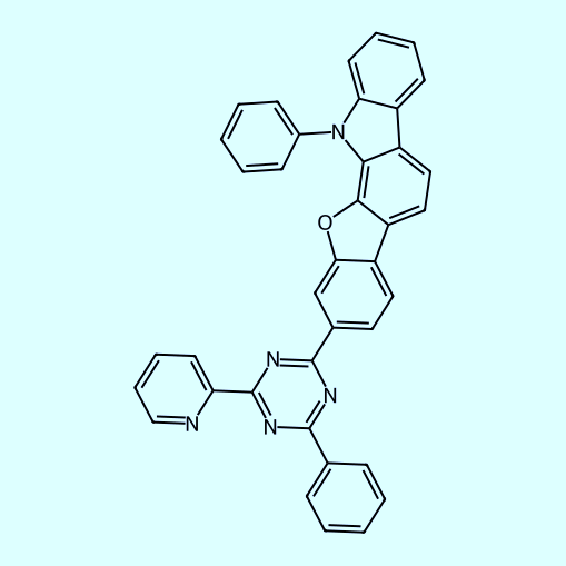 c1ccc(-c2nc(-c3ccc4c(c3)oc3c4ccc4c5ccccc5n(-c5ccccc5)c43)nc(-c3ccccn3)n2)cc1